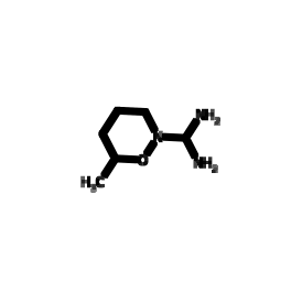 CC1CCCN(C(N)N)O1